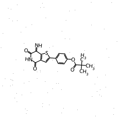 CC(C)(C)C(=O)Oc1ccc(-c2cc3c(s2)C(=N)C(=O)NC3=O)cc1